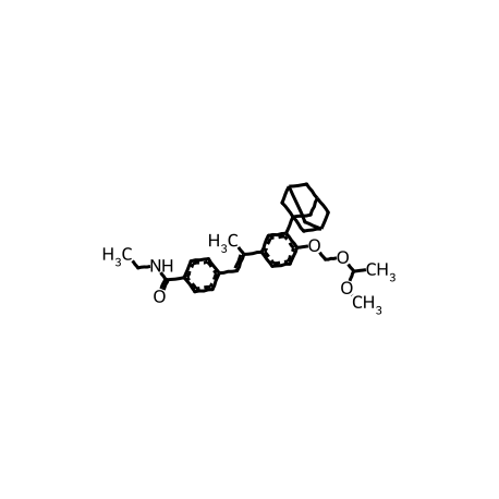 CCNC(=O)c1ccc(C=C(C)c2ccc(OCOC(C)OC)c(C34CC5CC(CC(C5)C3)C4)c2)cc1